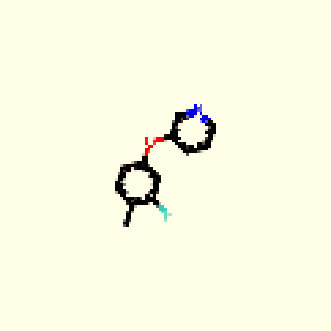 Cc1ccc(Oc2cccnc2)cc1F